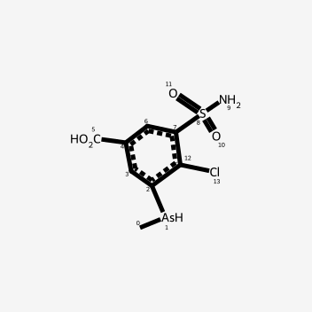 C[AsH]c1cc(C(=O)O)cc(S(N)(=O)=O)c1Cl